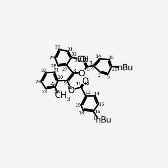 CCCCc1ccc(C(=O)OC(=C(OC(=O)c2ccc(CCCC)cc2)c2ccccc2C)c2ccccc2C)cc1